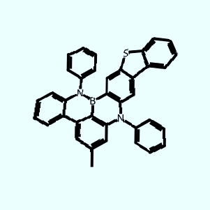 Cc1cc2c3c(c1)N(c1ccccc1)c1cc4c(cc1B3N(c1ccccc1)c1ccccc1-2)sc1ccccc14